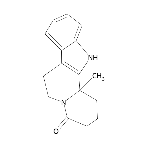 CC12CCCC(=O)N1CCc1c2[nH]c2ccccc12